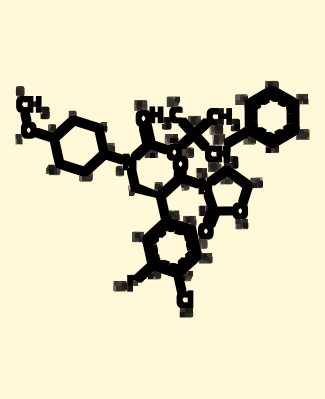 COC1CCC(N(C[C@@H](C(=O)N2C(=O)OC[C@H]2Cc2ccccc2)c2ccc(Cl)c(F)c2)C(=O)OC(C)(C)C)CC1